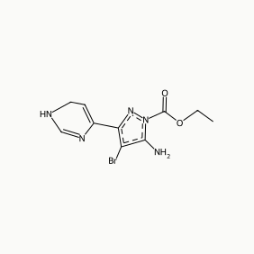 CCOC(=O)n1nc(C2=CCNC=N2)c(Br)c1N